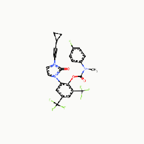 CN(C(=O)Oc1c(-n2ccn(C#CC3CC3)c2=O)cc(C(F)(F)F)cc1C(F)(F)F)c1ccc(F)cc1